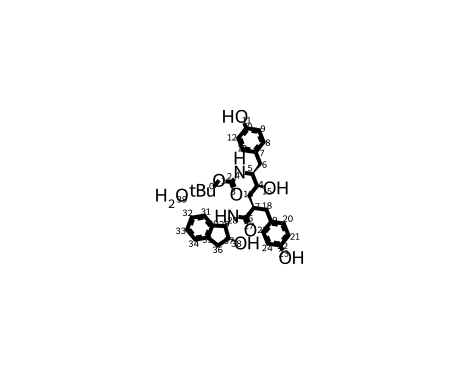 CC(C)(C)OC(=O)N[C@@H](Cc1ccc(O)cc1)[C@@H](O)C[C@@H](Cc1ccc(O)cc1)C(=O)N[C@H]1c2ccccc2C[C@H]1O.O